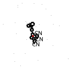 CC12C=CC=CC(C1)N(c1ccc(-c3cccc(-c4c(C#N)ccc(C#N)c4-n4c5ccccc5c5cc(C#N)ccc54)c3)cc1)c1ccccc12